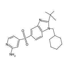 CC(C)(C)c1nc2cc(S(=O)(=O)c3ccnc(N)c3)ccc2n1CC1CCCCC1